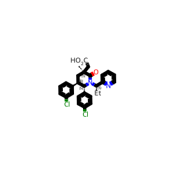 CC[C@@H](c1ccccn1)N1C(=O)[C@](C)(CC(=O)O)C[C@H](c2cccc(Cl)c2)[C@H]1c1ccc(Cl)cc1